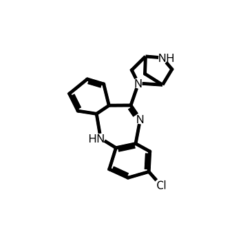 Clc1ccc2c(c1)N=C(N1CC3CC1CN3)C1C=CC=CC1N2